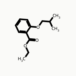 CCOC(=O)c1ccccc1OCC(C)C